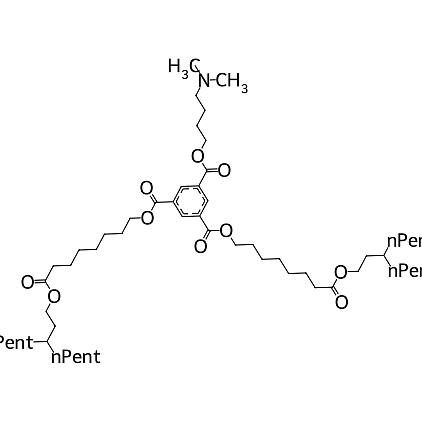 CCCCCC(CCCCC)CCOC(=O)CCCCCCCOC(=O)c1cc(C(=O)OCCCCCCCC(=O)OCCC(CCCCC)CCCCC)cc(C(=O)OCCCCN(C)C)c1